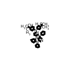 CC(C)(C)c1ccc(N(c2ccc(C(C)(C)C)cc2)c2ccc3c(n2)N(c2ccccc2)c2cncc4c2B3c2ccccc2N4c2ccccc2)cc1